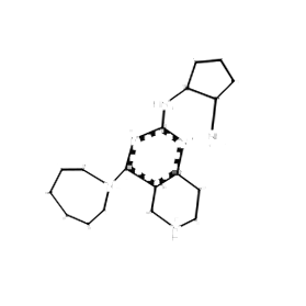 NC1CCCC1Nc1nc2c(c(N3CCCCCC3)n1)CNCC2